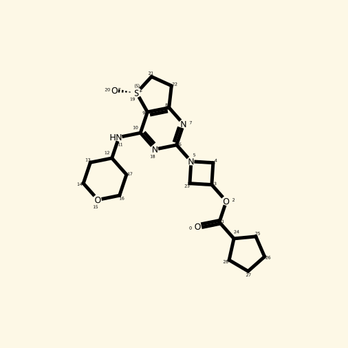 O=C(OC1CN(c2nc3c(c(NC4CCOCC4)n2)[S@+]([O-])CC3)C1)C1CCCC1